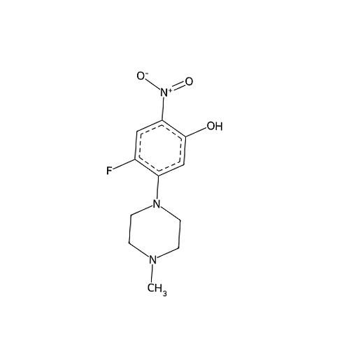 CN1CCN(c2cc(O)c([N+](=O)[O-])cc2F)CC1